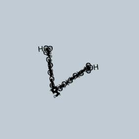 CCc1ccc(OCCOCCOCCOCCOCCCS(=O)(=O)O)cc1OCCOCCOCCOCCOCCCS(=O)(=O)O